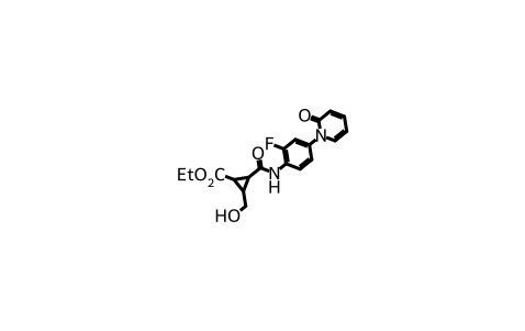 CCOC(=O)C1C(CO)C1C(=O)Nc1ccc(-n2ccccc2=O)cc1F